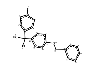 CCC(O)(c1ccc(F)cc1)c1ccc(OCc2ccccc2)cc1